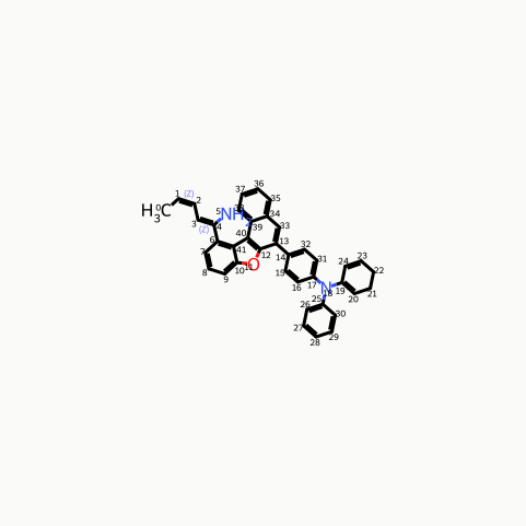 C/C=C\C=C(/N)c1cccc2oc3c(-c4ccc(N(C5=CCCC=C5)c5ccccc5)cc4)cc4ccccc4c3c12